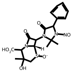 CC1(O)C[S+]([O-])[C@H]2C(N3C(=O)C(c4ccccc4)N(N=O)C3(C)C)C(=O)N2C1C(=O)O